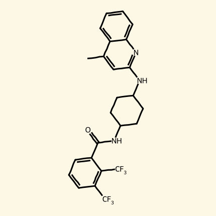 Cc1cc(NC2CCC(NC(=O)c3cccc(C(F)(F)F)c3C(F)(F)F)CC2)nc2ccccc12